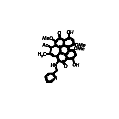 COc1c2c3c4c(c(NCc5ccccn5)c(=O)c5c(O)cc(OC)c(c6c(OC)cc(O)c(c1=O)c63)c54)C=C(C)C2C(C)=O